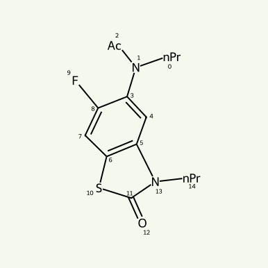 CCCN(C(C)=O)c1cc2c(cc1F)sc(=O)n2CCC